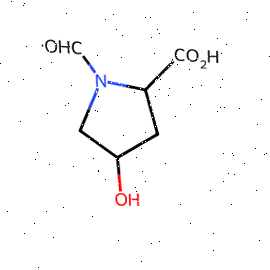 O=[C]N1CC(O)CC1C(=O)O